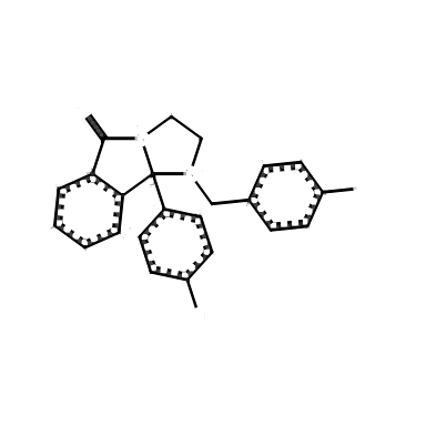 Cc1ccc(CN2CCN3C(=O)c4ccccc4C23c2ccc(Cl)cc2)cc1